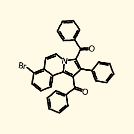 O=C(c1ccccc1)c1c(-c2ccccc2)c(C(=O)c2ccccc2)n2ccc3c(Br)cccc3c12